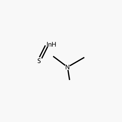 CN(C)C.[S]=[InH]